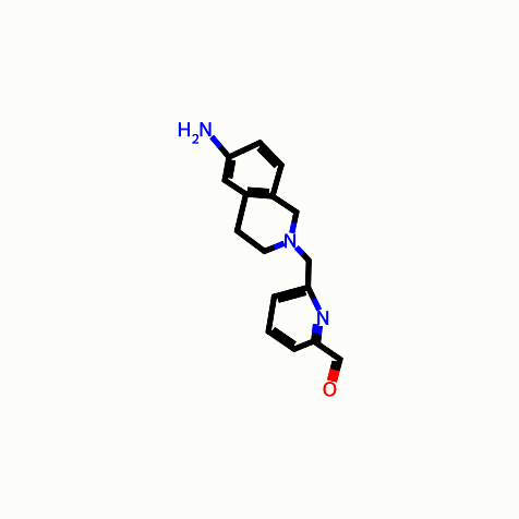 Nc1ccc2c(c1)CCN(Cc1cccc(C=O)n1)C2